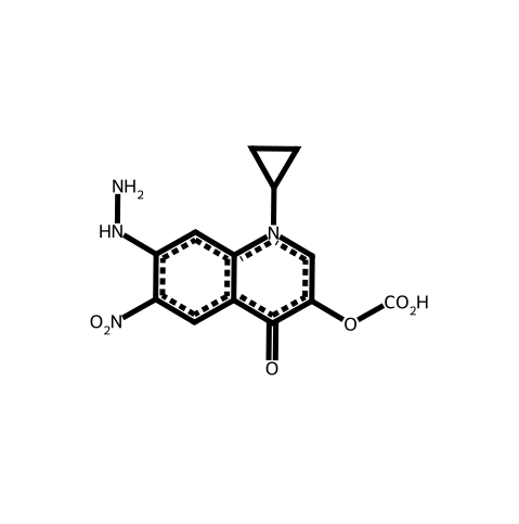 NNc1cc2c(cc1[N+](=O)[O-])c(=O)c(OC(=O)O)cn2C1CC1